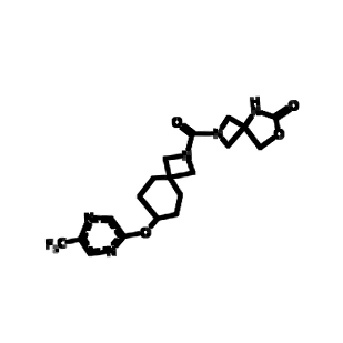 O=C1NC2(CO1)CN(C(=O)N1CC3(CCC(Oc4cnc(C(F)(F)F)cn4)CC3)C1)C2